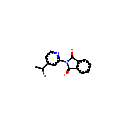 CC(Br)c1ccnc(N2C(=O)c3ccccc3C2=O)c1